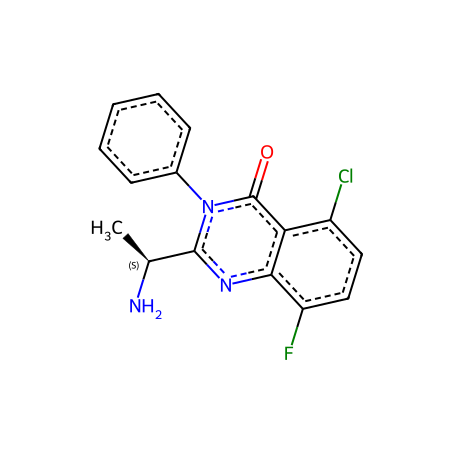 C[C@H](N)c1nc2c(F)ccc(Cl)c2c(=O)n1-c1ccccc1